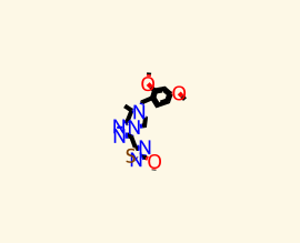 COc1ccc(CN2CCn3c(-c4nc(OC)ns4)nnc3C2C)c(OC)c1